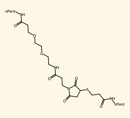 CCCCCNC(=O)CCOCCOCCNC(=O)CCN1C(=O)CC(SCCC(=O)NCCCCC)C1=O